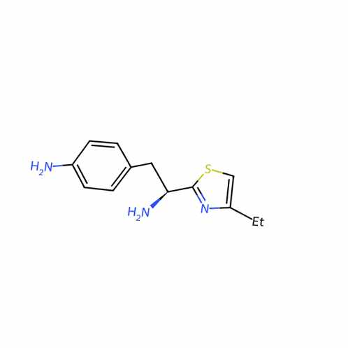 CCc1csc([C@@H](N)Cc2ccc(N)cc2)n1